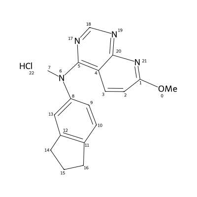 COc1ccc2c(N(C)c3ccc4c(c3)CCC4)ncnc2n1.Cl